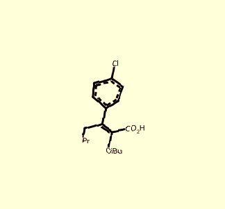 CC(C)COC(C(=O)O)=C(CC(C)C)c1ccc(Cl)cc1